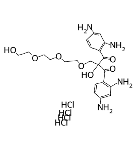 Cl.Cl.Cl.Cl.Nc1ccc(C(=O)C(O)(COCCOCCOCCO)C(=O)c2ccc(N)cc2N)c(N)c1